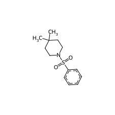 CC1(C)CCN(S(=O)(=O)c2ccccc2)CC1